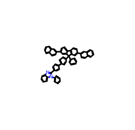 c1ccc(-n2c(-c3ccc(-c4ccc(C5(c6ccccc6)c6cc(-c7ccc8ccccc8c7)ccc6-c6ccc(-c7ccc8ccccc8c7)cc65)cc4)cc3)nc3ccccc32)cc1